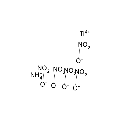 O=[N+]([O-])[O-].O=[N+]([O-])[O-].O=[N+]([O-])[O-].O=[N+]([O-])[O-].O=[N+]([O-])[O-].[NH4+].[Ti+4]